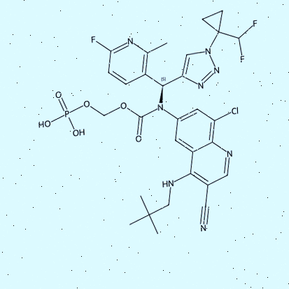 Cc1nc(F)ccc1[C@@H](c1cn(C2(C(F)F)CC2)nn1)N(C(=O)OCOP(=O)(O)O)c1cc(Cl)c2ncc(C#N)c(NCC(C)(C)C)c2c1